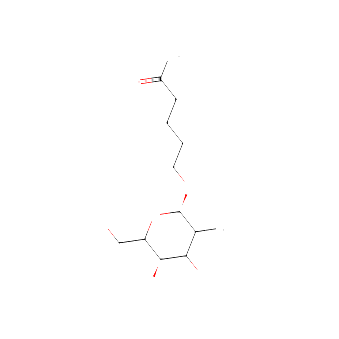 CC(=O)NC1C(O)[C@@H](O)C(CO)O[C@H]1OCCCCC(=O)C(C)(C)C